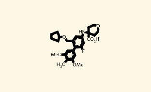 COc1cc(-c2c(F)cc(NC3(C(=O)O)CCOCC3)cc2COC2CCCC2)cc(OC)c1C